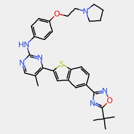 Cc1cnc(Nc2ccc(OCCN3CCCC3)cc2)nc1-c1cc2cc(-c3noc(C(C)(C)C)n3)ccc2s1